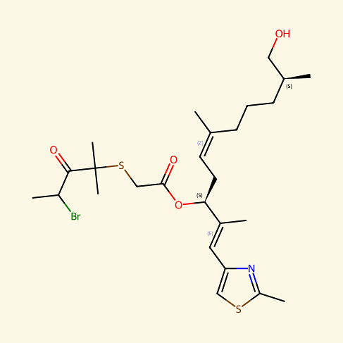 C/C(=C/C[C@H](OC(=O)CSC(C)(C)C(=O)C(C)Br)/C(C)=C/c1csc(C)n1)CCC[C@H](C)CO